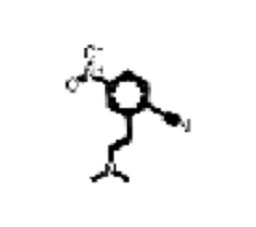 CN(C)C=Cc1cc([N+](=O)[O-])ccc1C#N